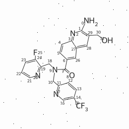 Nc1nc2ccc(C(=O)N(Cc3ccc(C(F)(F)F)cn3)Cc3ncccc3F)cc2cc1CO